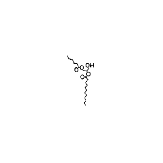 CCCCCCCCCCCC(=O)OC(CO)COC(=O)CCCCC